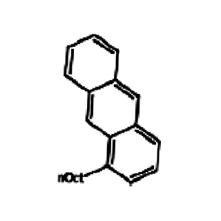 CCCCCCCCc1[c]ccc2cc3ccccc3cc12